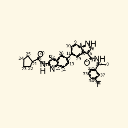 C[C@H](NC(=O)c1c[nH]c2ccc(-c3ccc4nc(NC(=O)C5CCCC5)sc4c3)cc12)c1cccc(F)c1